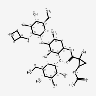 N=C(N)NC1CC1(O)C(=O)N[C@@H]1C[C@H](N)C(O[C@H]2O[C@H](CN)[C@@H](O)[C@H](O)[C@H]2NC2CNC2)[C@H](O)[C@H]1O[C@H]1O[C@H](CO)[C@@H](O)[C@H](N)[C@H]1O